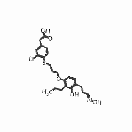 C=CCc1c(OCCCSc2ccc(CC(=O)O)cc2Cl)ccc(CCC=NO)c1O